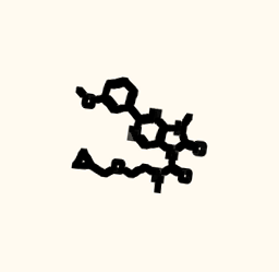 COc1cccc(-c2ncc3c(n2)n(C)c(=O)n3C(=O)N(C)CCOCC2CC2)c1